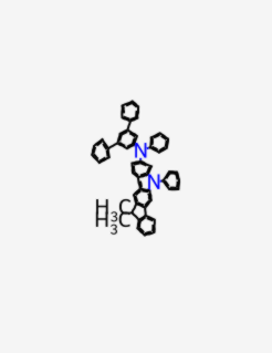 CC1(C)c2ccccc2-c2cc3c(cc21)c1ccc(N(c2ccccc2)c2cc(-c4ccccc4)cc(-c4ccccc4)c2)cc1n3-c1ccccc1